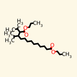 CCCOC(=O)CCCCCCCCCC(C(C)C)C(C(=O)OCCC)C(C)C